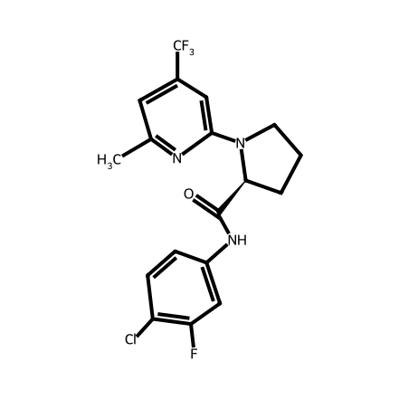 Cc1cc(C(F)(F)F)cc(N2CCC[C@H]2C(=O)Nc2ccc(Cl)c(F)c2)n1